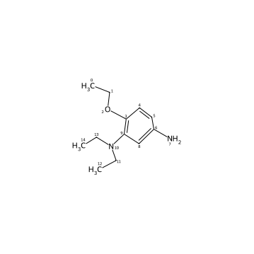 CCOc1ccc(N)cc1N(CC)CC